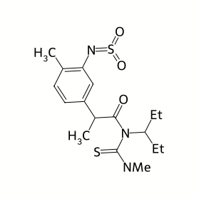 CCC(CC)N(C(=O)C(C)c1ccc(C)c(N=S(=O)=O)c1)C(=S)NC